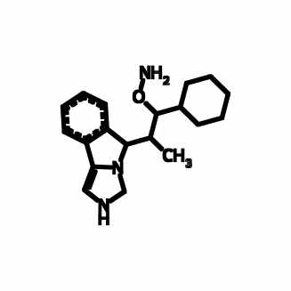 CC(C(ON)C1CCCCC1)C1c2ccccc2C2=CNCN21